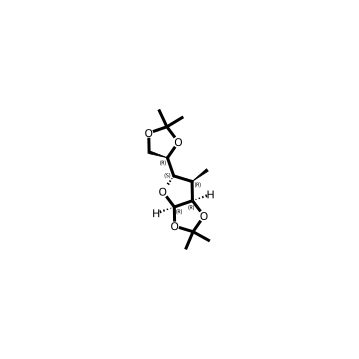 C[C@H]1[C@H]2OC(C)(C)O[C@H]2O[C@@H]1[C@H]1COC(C)(C)O1